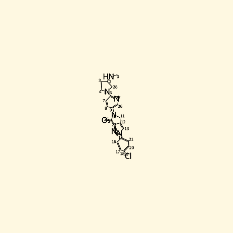 CNC1CCN(c2ccc(N3Cc4cn(-c5ccc(Cl)cc5)nc4C3=O)cn2)C1